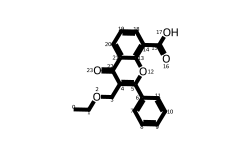 CCOCc1c(-c2ccccc2)oc2c(C(=O)O)cccc2c1=O